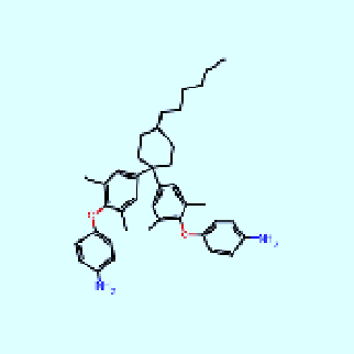 CCCCCCC1CCC(c2cc(C)c(Oc3ccc(N)cc3)c(C)c2)(c2cc(C)c(Oc3ccc(N)cc3)c(C)c2)CC1